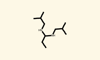 [CH2]CC(NCC(C)C)NCC(C)C